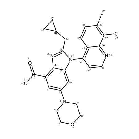 O=C(O)c1cc(N2CCOCC2)cc2c1nc(CC1CC1)n2-c1ccnc2c(Cl)c(F)ccc12